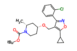 C[C@@H]1C[C@H](OCc2c(-c3ccccc3Cl)noc2C2CC2)CCN1C(=O)OC(C)(C)C